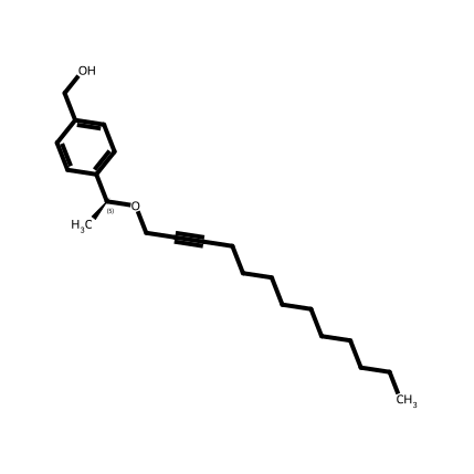 CCCCCCCCCCC#CCO[C@@H](C)c1ccc(CO)cc1